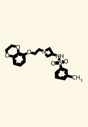 Cc1cccc(S(=O)(=O)NC2CN(CCOc3cccc4c3OCCO4)C2)c1